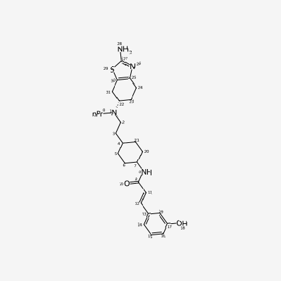 CCCN(CCC1CCC(NC(=O)/C=C/c2cccc(O)c2)CC1)[C@H]1CCc2nc(N)sc2C1